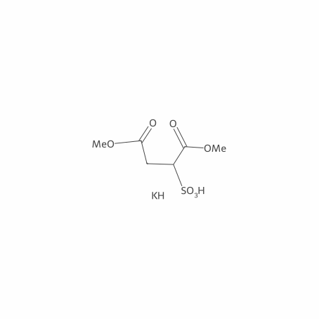 COC(=O)CC(C(=O)OC)S(=O)(=O)O.[KH]